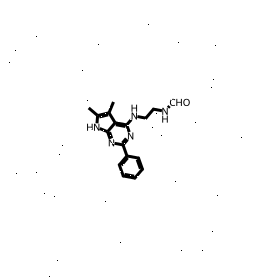 Cc1[nH]c2nc(-c3ccccc3)nc(NCCNC=O)c2c1C